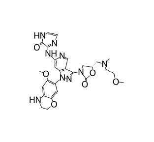 COCCN(C)C[C@H]1CN(c2nn(-c3cc4c(cc3OC)NCCO4)c3cc(Nc4ncc[nH]c4=O)ncc23)C(=O)O1